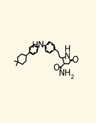 CC1(C)CCC(c2ccc(Nc3ccc(CCC4NC(=O)CC4C(N)=O)cc3)cc2)CC1